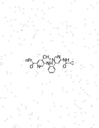 CCCC(=O)c1cc(C)c(Nc2ccccc2-c2cc(NC(=O)C3CC3)ncn2)cn1